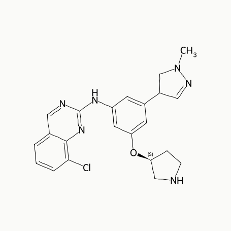 CN1CC(c2cc(Nc3ncc4cccc(Cl)c4n3)cc(O[C@H]3CCNC3)c2)C=N1